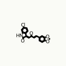 O=C(/C=C/c1ccc2c(c1)OCO2)/C=C1/C(=O)Nc2cc(Cl)ccc21